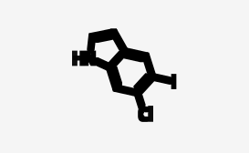 Clc1cc2[nH]ccc2cc1I